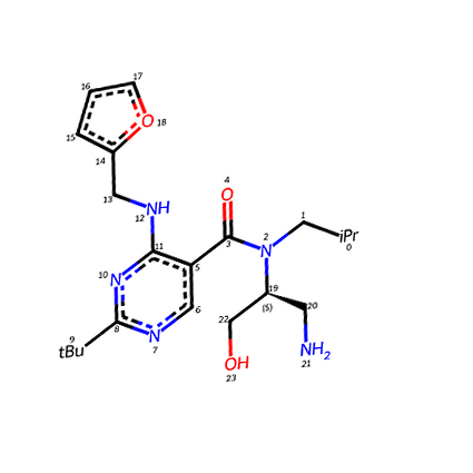 CC(C)CN(C(=O)c1cnc(C(C)(C)C)nc1NCc1ccco1)[C@@H](CN)CO